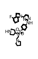 O=S(=O)(c1ccc(Nc2nccc(-n3ccc4c(F)cccc43)n2)cc1)N(CCN1CCCC1)C1CCNCC1